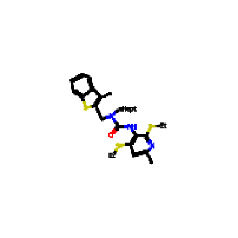 CCCCCCCN(Cc1sc2ccccc2c1C)C(=O)Nc1c(SCC)cc(C)nc1SCC